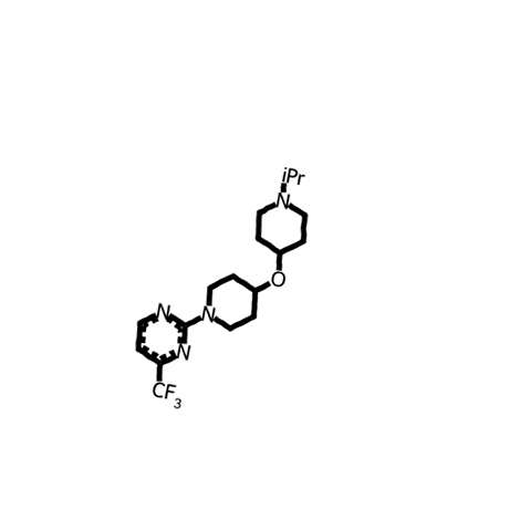 CC(C)N1CCC(OC2CCN(c3nccc(C(F)(F)F)n3)CC2)CC1